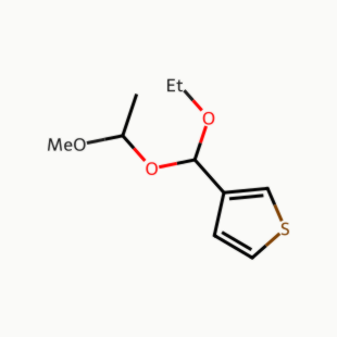 CCOC(OC(C)OC)c1ccsc1